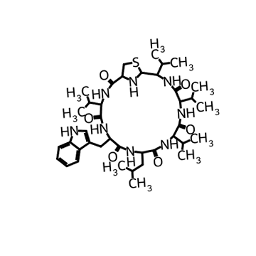 CC(C)CC1NC(=O)C(Cc2c[nH]c3ccccc23)NC(=O)C(C(C)C)NC(=O)C2CSC(N2)C(C(C)C)NC(=O)C(C(C)C)NC(=O)C(C(C)C)NC1=O